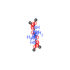 Nc1nc(C(=O)NCCC(=O)NC(CC(=O)OCc2ccccc2)C(=O)OCc2ccccc2)c(N)nc1C(=O)NCCC(=O)NC(CC(=O)OCc1ccccc1)C(=O)OCc1ccccc1